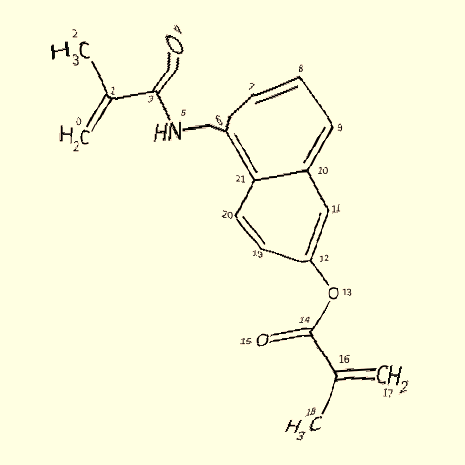 C=C(C)C(=O)Nc1cccc2cc(OC(=O)C(=C)C)ccc12